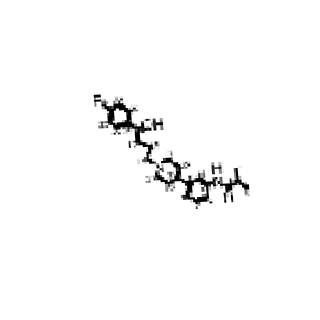 CC(C)C(=O)Nc1cccc(C2CCN(CCCC(O)c3ccc(F)cc3)CC2)c1